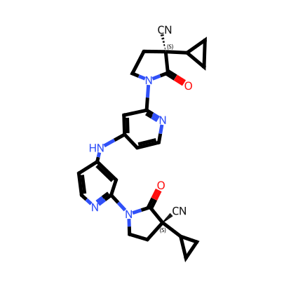 N#C[C@@]1(C2CC2)CCN(c2cc(Nc3ccnc(N4CC[C@@](C#N)(C5CC5)C4=O)c3)ccn2)C1=O